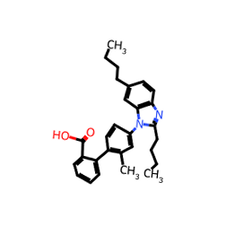 CCCCc1ccc2nc(CCCC)n(-c3ccc(-c4ccccc4C(=O)O)c(C)c3)c2c1